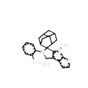 Cc1ccccc1N1[C@@H](C)c2c(n(C)c3sccc23)C12C1CC3CC(C1)CC2C3